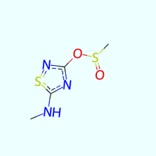 CNc1nc(OS(C)=O)ns1